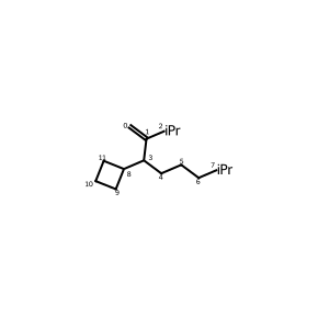 C=C(C(C)C)C(CCCC(C)C)C1CCC1